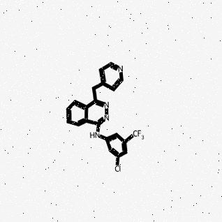 FC(F)(F)c1cc(Cl)cc(Nc2nnc(Cc3ccncc3)c3ccccc23)c1